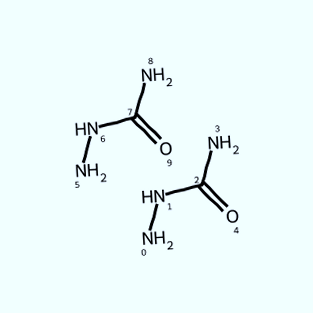 NNC(N)=O.NNC(N)=O